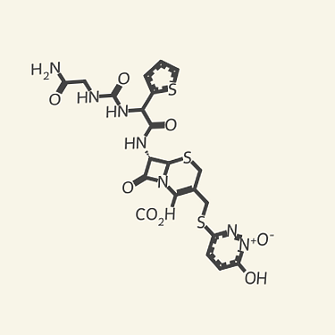 NC(=O)CNC(=O)NC(C(=O)N[C@H]1C(=O)N2C(C(=O)O)=C(CSc3ccc(O)[n+]([O-])n3)CSC12)c1cccs1